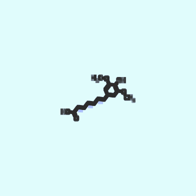 COc1cc(/C=C/C=C/C=C/C(=O)O)cc(OC)c1O